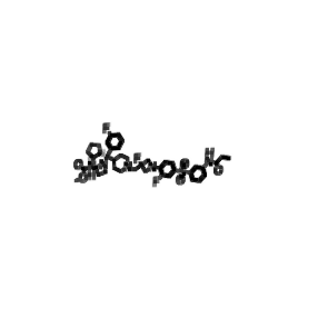 C=CC(=O)Nc1cccc(S(=O)(=O)c2ccc(N3CC(F)(CN4CCC(C(c5cccc(F)c5)([C@H]5CCC[C@@H]5NC(=O)OC)N5CCC5)CC4)C3)c(F)c2)c1